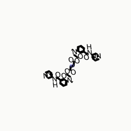 CN1CC(OC(=O)/C=C/C(=O)OC2CN(C)c3cccc(C(=O)NC4CN5CCC4CC5)c3O2)Oc2c(C(=O)NC3CN4CCC3CC4)cccc21